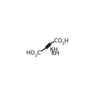 O=C(O)C#CC(=O)O.[KH].[KH]